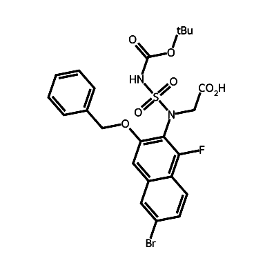 CC(C)(C)OC(=O)NS(=O)(=O)N(CC(=O)O)c1c(OCc2ccccc2)cc2cc(Br)ccc2c1F